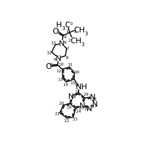 CC(C)(C)C(=O)N1CCN(C(=O)c2ccc(Nc3nc4ccccc4n4nnnc34)cc2)CC1